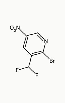 O=[N+]([O-])c1cnc(Br)c(C(F)F)c1